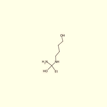 CCC(N)(O)NCCCCO